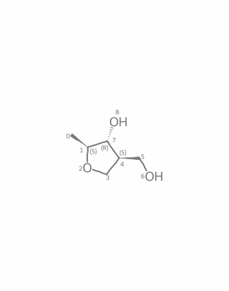 C[C@@H]1OC[C@H](CO)[C@H]1O